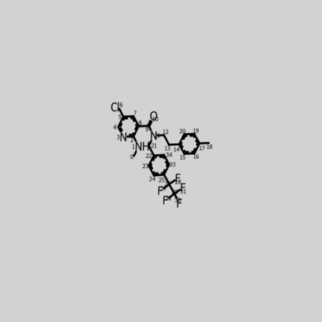 CNc1ncc(Cl)cc1C(=O)N(CCc1ccc(C)cc1)Cc1ccc(C(F)(F)C(F)(F)F)cc1